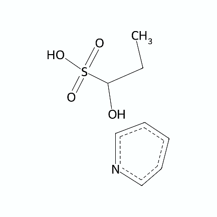 CCC(O)S(=O)(=O)O.c1ccncc1